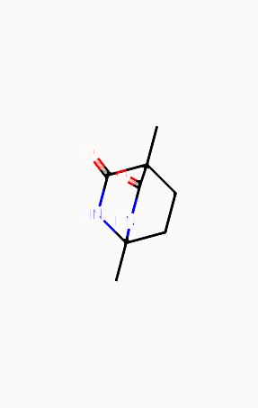 CC12CCC(C)(C(=O)N1)C(=O)N2